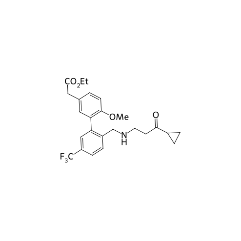 CCOC(=O)Cc1ccc(OC)c(-c2cc(C(F)(F)F)ccc2CNCCC(=O)C2CC2)c1